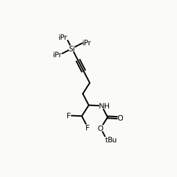 CC(C)[Si](C#CCCC(NC(=O)OC(C)(C)C)C(F)F)(C(C)C)C(C)C